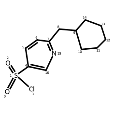 O=S(=O)(Cl)c1ccc(CC2CCCCC2)nc1